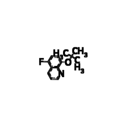 CC(C)(C)Oc1ccc(F)c2cccnc12